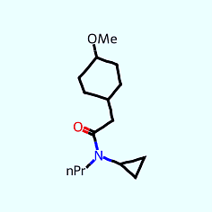 CCCN(C(=O)CC1CCC(OC)CC1)C1CC1